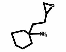 NC1(CCC2CO2)CCCCC1